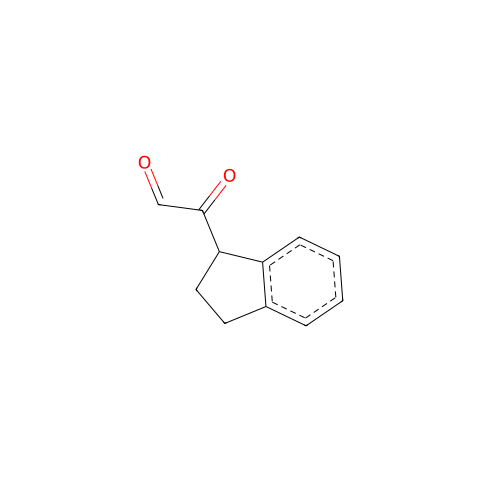 O=CC(=O)C1CCc2ccccc21